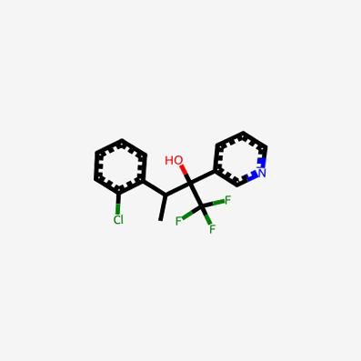 CC(c1ccccc1Cl)C(O)(c1cccnc1)C(F)(F)F